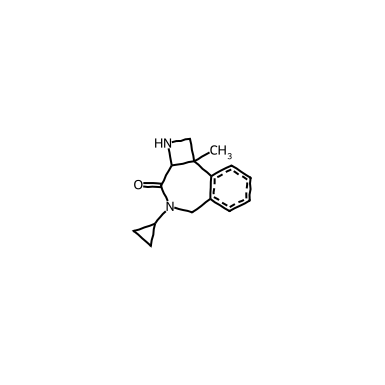 CC12CNC1C(=O)N(C1CC1)Cc1ccccc12